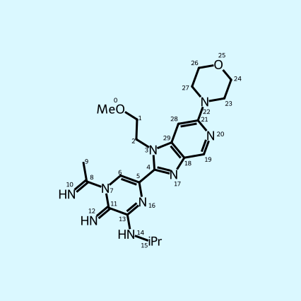 COCCn1c(-c2cn(C(C)=N)c(=N)c(NC(C)C)n2)nc2cnc(N3CCOCC3)cc21